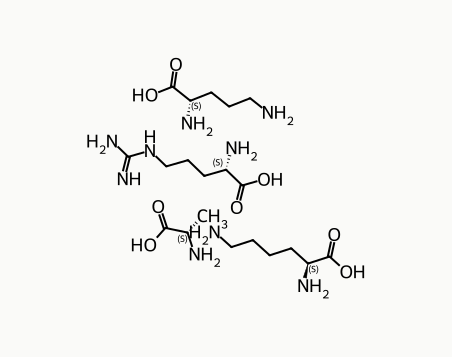 C[C@H](N)C(=O)O.N=C(N)NCCC[C@H](N)C(=O)O.NCCCC[C@H](N)C(=O)O.NCCC[C@H](N)C(=O)O